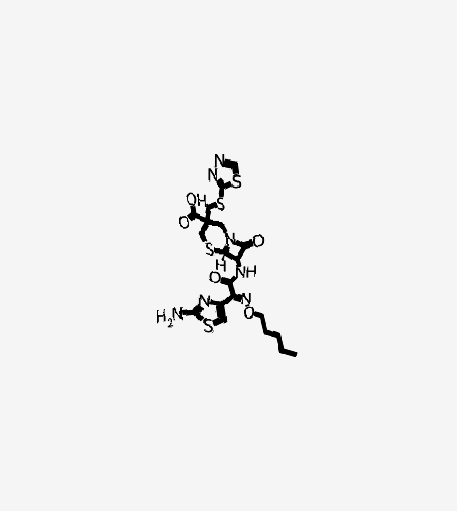 CCCCCON=C(C(=O)NC1C(=O)N2CC(CSc3nncs3)(C(=O)O)CS[C@H]12)c1csc(N)n1